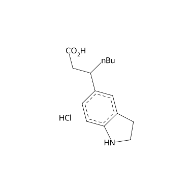 CCCCC(CC(=O)O)c1ccc2c(c1)CCN2.Cl